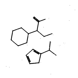 CC(C)C1=CC=CC1.CCC(C(=O)O)C1CCCCC1.[Mn].[Mn]